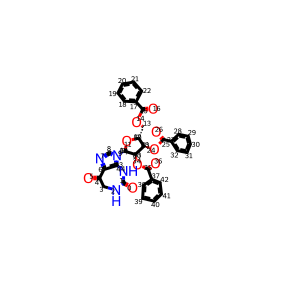 O=C1NCC(=O)c2ncn([C@@H]3O[C@H](COC(=O)c4ccccc4)[C@@H](OC(=O)c4ccccc4)[C@H]3OC(=O)c3ccccc3)c2N1